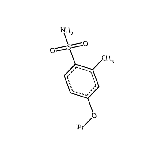 Cc1cc(OC(C)C)ccc1S(N)(=O)=O